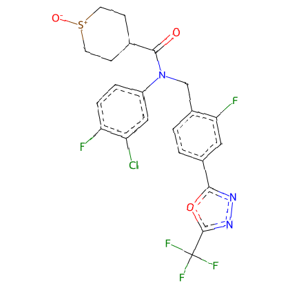 O=C(C1CC[S+]([O-])CC1)N(Cc1ccc(-c2nnc(C(F)(F)F)o2)cc1F)c1ccc(F)c(Cl)c1